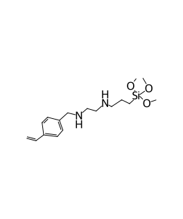 C=Cc1ccc(CNCCNCCC[Si](OC)(OC)OC)cc1